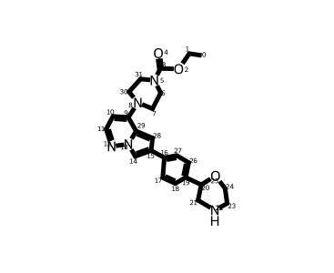 CCOC(=O)N1CCN(c2ccnn3cc(-c4ccc(C5CNCCO5)cc4)cc23)CC1